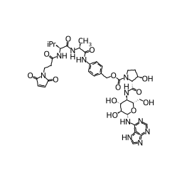 CC(C)[C@H](NC(=O)CCN1C(=O)C=CC1=O)C(=O)N[C@@H](C)C(=O)Nc1ccc(COC(=O)N2CC[C@@H](O)[C@@H]2C(=O)N[C@@H]2[C@@H](O)[C@H](O)[C@@H](Nc3ncnc4nc[nH]c34)O[C@H]2CO)cc1